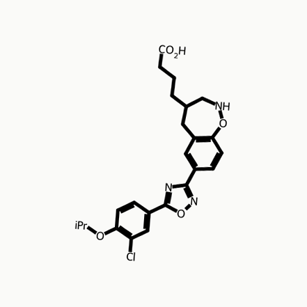 CC(C)Oc1ccc(-c2nc(-c3ccc4c(c3)CC(CCCC(=O)O)CNO4)no2)cc1Cl